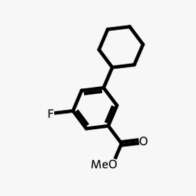 COC(=O)c1cc(F)cc(C2CCCCC2)c1